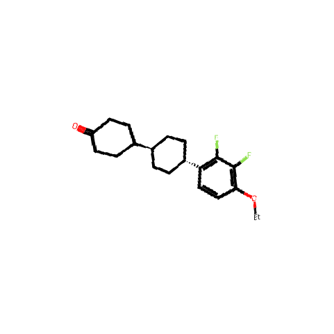 CCOc1ccc([C@H]2CC[C@H](C3CCC(=O)CC3)CC2)c(F)c1F